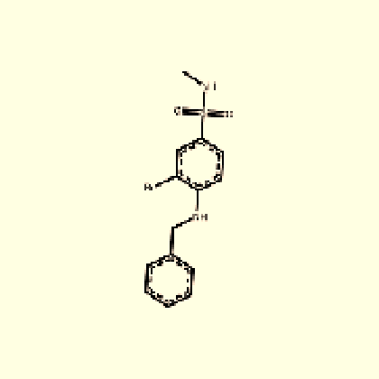 CNS(=O)(=O)c1ccc(NCc2ccccc2)c(Br)c1